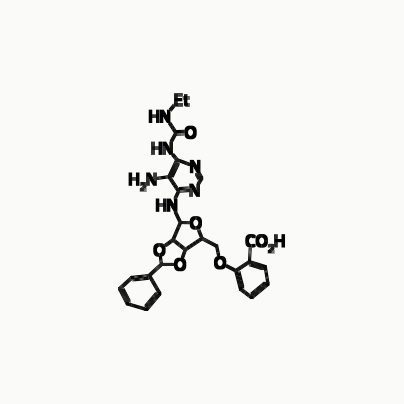 CCNC(=O)Nc1ncnc(NC2OC(COc3ccccc3C(=O)O)C3OC(c4ccccc4)OC23)c1N